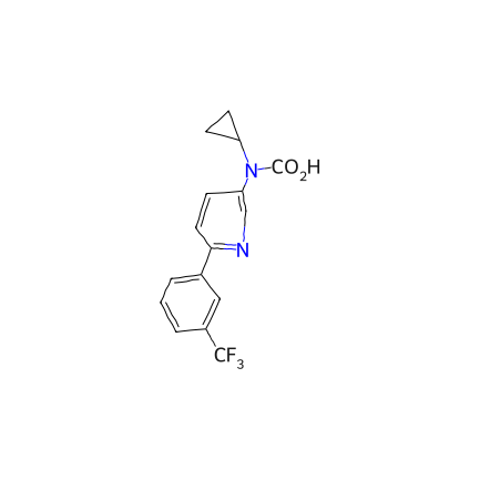 O=C(O)N(c1ccc(-c2cccc(C(F)(F)F)c2)nc1)C1CC1